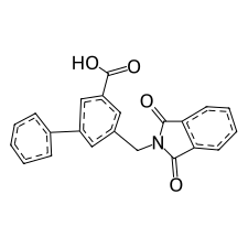 O=C(O)c1cc(CN2C(=O)c3ccccc3C2=O)cc(-c2ccccc2)c1